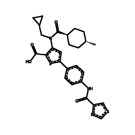 C[C@H]1CC[C@H](C(=O)N(CC2CC2)c2cc(-c3ccc(NC(=O)c4cscn4)cc3)sc2C(=O)O)CC1